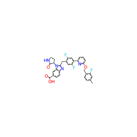 Cc1ccc(COc2cccc(-c3cc(F)c(Cc4nc5ccc(C(=O)O)cc5n4[C@@H]4CCNC4=O)cc3F)n2)c(F)c1